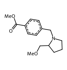 COCC1CCCN1Cc1ccc(C(=O)OC)cc1